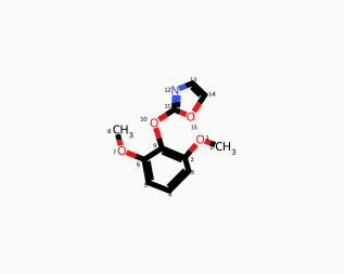 COc1cccc(OC)c1Oc1n[c]co1